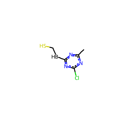 Cc1nc(Cl)nc(BCS)n1